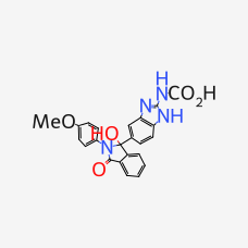 COc1ccc(N2C(=O)c3ccccc3C2(O)c2ccc3[nH]c(NC(=O)O)nc3c2)cc1